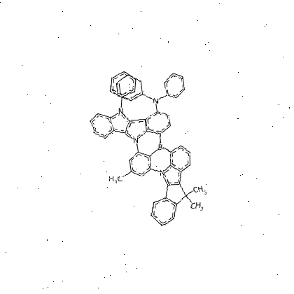 Cc1cc2c3c(c1)-n1c4c(ccc(N(C5=CC=CCC5)c5ccccc5)c4c4c1c1ccccc1n4-c1ccccc1)B3c1cccc3c4c(n-2c13)-c1ccccc1C4(C)C